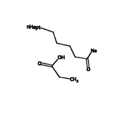 CCC(=O)O.CCCCCCCCCCC[C](=O)[Na]